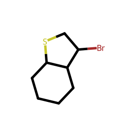 BrC1CSC2CCCCC12